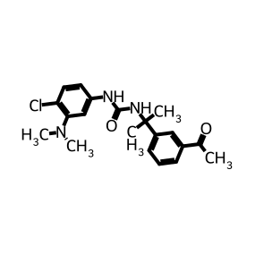 CC(=O)c1cccc(C(C)(C)NC(=O)Nc2ccc(Cl)c(N(C)C)c2)c1